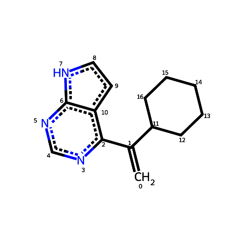 C=C(c1ncnc2[nH]ccc12)C1CCCCC1